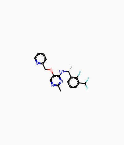 Cc1ncc(OCc2ccccn2)c(N[C@H](C)c2cccc(C(F)F)c2F)n1